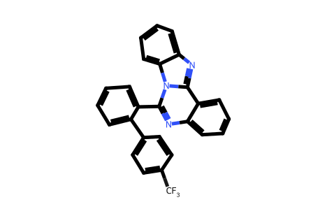 FC(F)(F)c1ccc(-c2ccccc2-c2nc3ccccc3c3nc4ccccc4n23)cc1